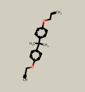 C#CCOc1ccc(C(C)(C)c2ccc(OCC=C)cc2)cc1